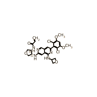 C=CC(=O)N[C@H]1COC[C@H]1Nc1cc2c(NC3COC3)nc(-c3c(Cl)c(OC)cc(OC)c3Cl)cc2cn1